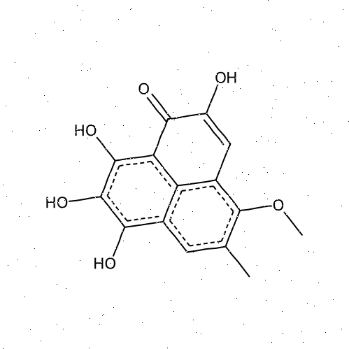 COc1c(C)cc2c(O)c(O)c(O)c3c2c1C=C(O)C3=O